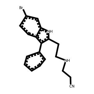 N#CCCNCCc1[nH]c2cc(Br)ccc2c1-c1ccccc1